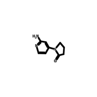 Nc1cc(N2CCCC2=O)ccn1